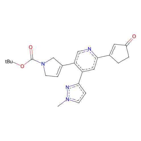 Cn1ccc(-c2cc(C3=CC(=O)CC3)ncc2C2=CCN(C(=O)OC(C)(C)C)C2)n1